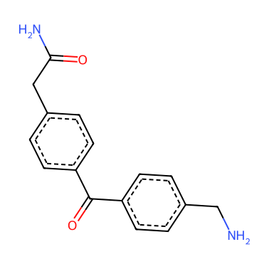 NCc1ccc(C(=O)c2ccc(CC(N)=O)cc2)cc1